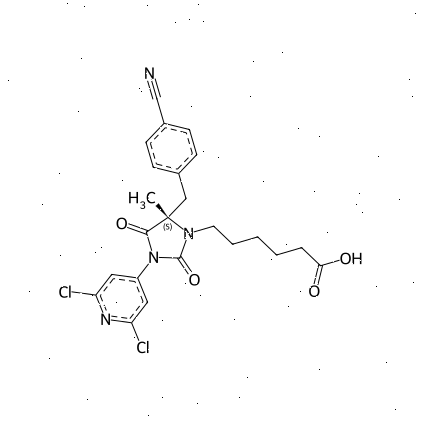 C[C@]1(Cc2ccc(C#N)cc2)C(=O)N(c2cc(Cl)nc(Cl)c2)C(=O)N1CCCCCC(=O)O